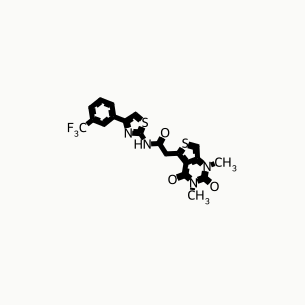 Cn1c(=O)c2c(CC(=O)Nc3nc(-c4cccc(C(F)(F)F)c4)cs3)scc2n(C)c1=O